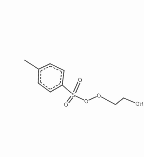 Cc1ccc(S(=O)(=O)OOCCO)cc1